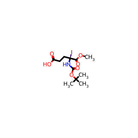 COC(=O)[C@@](I)(CCC(=O)O)NC(=O)OC(C)(C)C